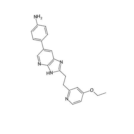 CCOc1ccnc(CCc2nc3cc(-c4ccc(N)cc4)cnc3[nH]2)c1